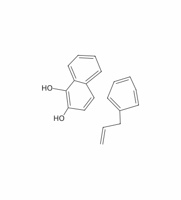 C=CCc1ccccc1.Oc1ccc2ccccc2c1O